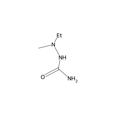 CCN(C)NC(N)=O